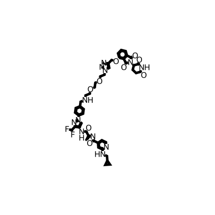 O=C1CCC(N2C(=O)c3cccc(OCc4cn(CCOCCOCCNCc5ccc(-n6cc(NC(=O)c7coc(-c8ccnc(NCC9CC9)c8)n7)c(C(F)F)n6)cc5)nn4)c3C2=O)C(=O)N1